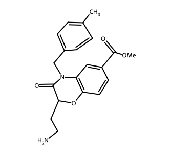 COC(=O)c1ccc2c(c1)N(Cc1ccc(C)cc1)C(=O)C(CCN)O2